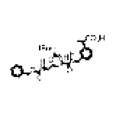 CC(C(=O)O)c1cccc(CNC(=O)[C@H](CCCNC(=O)OCc2ccccc2)NC(=O)OC(C)(C)C)c1